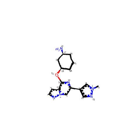 Cn1cc(-c2cn3nccc3c(O[C@@H]3CCC[C@H](N)C3)n2)cn1